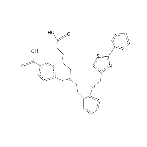 O=C(O)CCCCN(CCc1ccccc1OCc1csc(-c2ccccc2)n1)Cc1ccc(C(=O)O)cc1